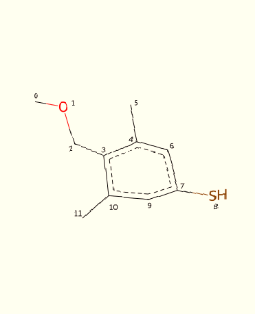 COCc1c(C)cc(S)cc1C